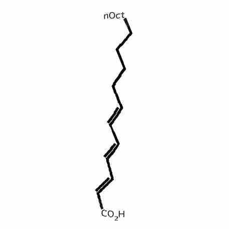 CCCCCCCCCCCCC=CC=CC=CC(=O)O